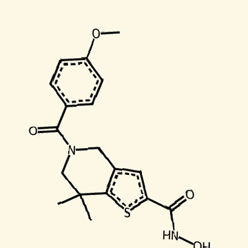 COc1ccc(C(=O)N2Cc3cc(C(=O)NO)sc3C(C)(C)C2)cc1